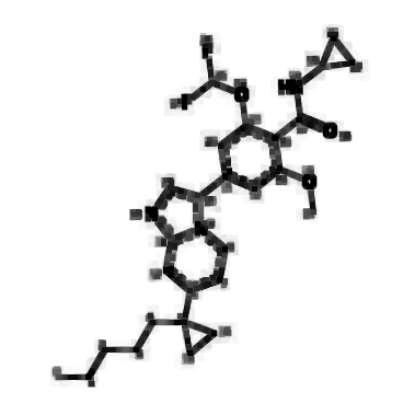 CCCCCC1(c2ccn3c(-c4cc(OC)c(C(=O)NC5CC5)c(OC(F)F)c4)cnc3c2)CC1